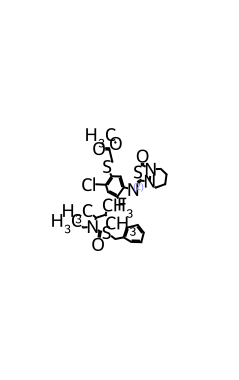 CCN(C(=O)SCc1ccccc1)C(C)C(C)C.COC(=O)CSc1cc(/N=c2\sc(=O)n3n2CCCC3)c(F)cc1Cl